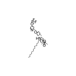 CCCCCCCCCCCCCC(=O)N[C@@H](/C=C/OP(=O)(CC)CC)Cc1ccc(OCc2cc(OCC(F)(F)F)ccn2)cc1